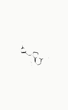 O=[N+]([O-])C1=C2N(Cc3cnc(Cl)s3)CCN2C(O)CC1